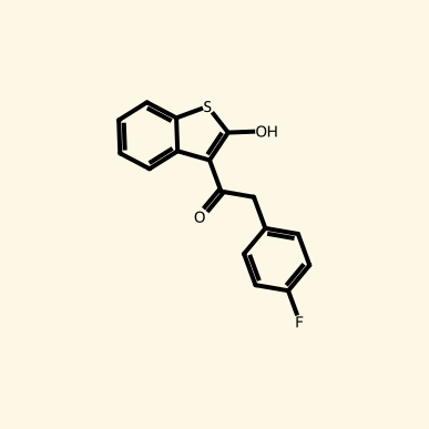 O=C(Cc1ccc(F)cc1)c1c(O)sc2ccccc12